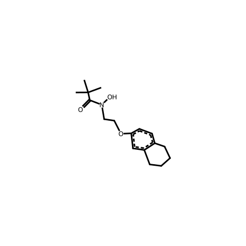 CC(C)(C)C(=O)N(O)CCOc1ccc2c(c1)CCCC2